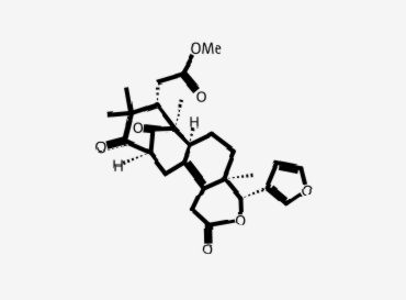 COC(=O)C[C@H]1C(C)(C)C(=O)[C@@H]2CC3=C4CC(=O)O[C@@H](c5ccoc5)[C@]4(C)CC[C@@H]3[C@@]1(C)C2=O